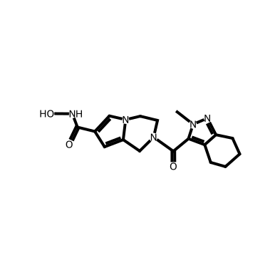 Cn1nc2c(c1C(=O)N1CCn3cc(C(=O)NO)cc3C1)CCCC2